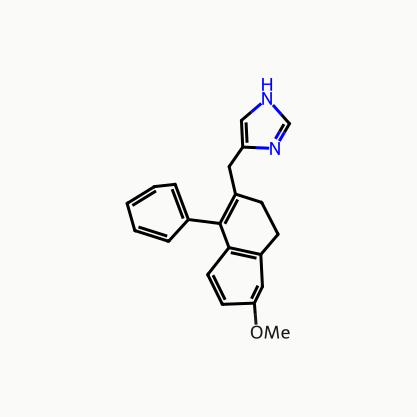 COc1ccc2c(c1)CCC(Cc1c[nH]cn1)=C2c1ccccc1